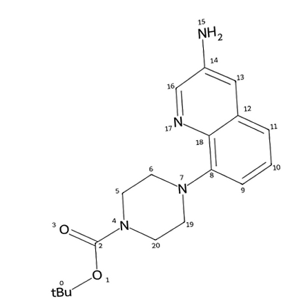 CC(C)(C)OC(=O)N1CCN(c2cccc3cc(N)cnc23)CC1